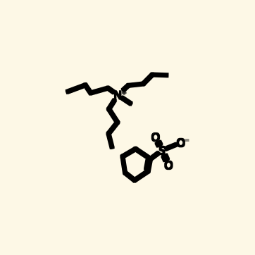 CCCC[N+](C)(CCCC)CCCC.O=S(=O)([O-])C1=CCCCC1